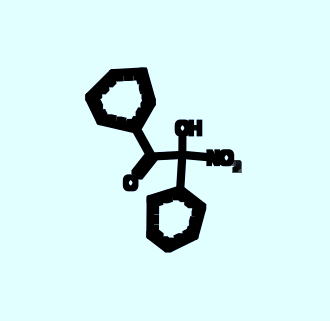 O=C(c1ccccc1)C(O)(c1ccccc1)[N+](=O)[O-]